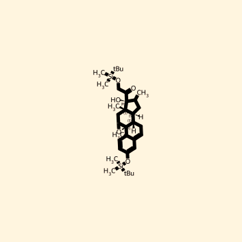 CC1C[C@H]2[C@@H]3CC=C4C=C(O[Si](C)(C)C(C)(C)C)C=C[C@]4(C)[C@]34OC4C[C@]2(C)[C@@]1(O)C(=O)CO[Si](C)(C)C(C)(C)C